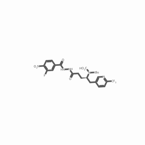 CC(C)(C)N(C(=O)O)[C@H](CCC(=O)NNC(=O)c1ccc([N+](=O)[O-])c(F)c1)Cc1ccc(C(F)(F)F)nc1